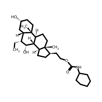 CC[C@H]1[C@@H](O)[C@@H]2[C@H](CC[C@]3(C)[C@@H](CCOC(=O)NC4CCCCC4)CC[C@@H]23)[C@@]2(C)CC[C@@H](O)C[C@@H]12